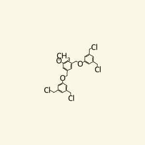 COc1cc(COc2cc(CCl)cc(CCl)c2)cc(COc2cc(CCl)cc(CCl)c2)c1